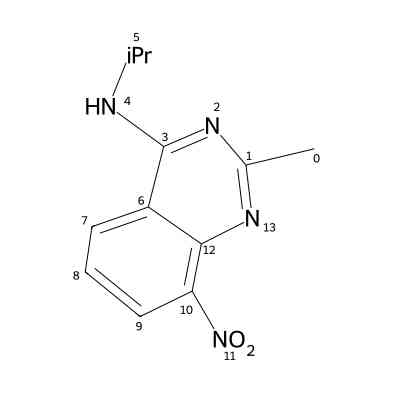 Cc1nc(NC(C)C)c2cccc([N+](=O)[O-])c2n1